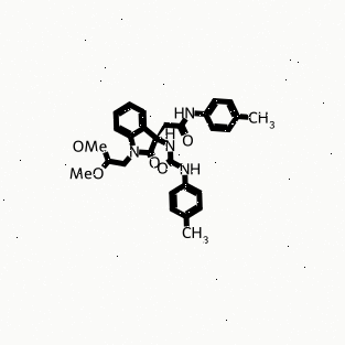 COC(CN1C(=O)[C@@](CC(=O)Nc2ccc(C)cc2)(NC(=O)Nc2ccc(C)cc2)c2ccccc21)OC